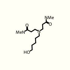 CNC(=O)CCN(CCCCCO)CCC(=O)NC